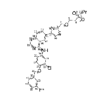 CC(C)S(=O)(=O)CCOCc1nc(-c2ccc3ncnc(Nc4ccc(OCc5cccc(F)c5)c(Cl)c4)c3c2)cs1